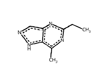 CCc1nc(C)c2[nH]ncc2n1